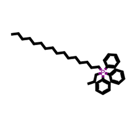 CCCCCCCCCCCCCCCCP(CCC)(c1ccccc1)(c1ccccc1)c1ccccc1